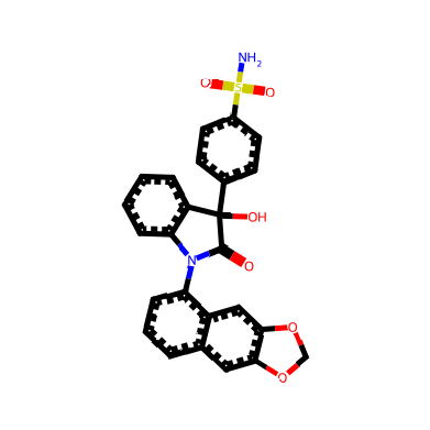 NS(=O)(=O)c1ccc(C2(O)C(=O)N(c3cccc4cc5c(cc34)OCO5)c3ccccc32)cc1